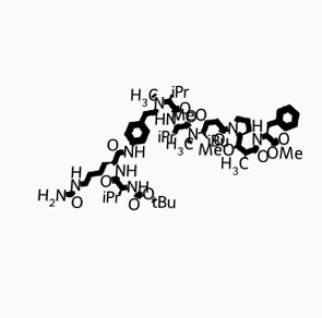 CC[C@H](C)[C@@H]([C@@H](CC(=O)N1CCC[C@H]1[C@H](OC)[C@@H](C)C(=O)N[C@@H](Cc1ccccc1)C(=O)OC)OC)N(C)C(=O)C(NC(=O)[C@H](C(C)C)N(C)CCc1ccc(NC(=O)[C@H](CCCCNC(N)=O)NC(=O)[C@@H](NC(=O)OC(C)(C)C)C(C)C)cc1)C(C)C